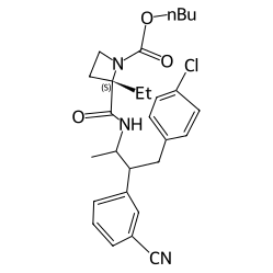 CCCCOC(=O)N1CC[C@@]1(CC)C(=O)NC(C)C(Cc1ccc(Cl)cc1)c1cccc(C#N)c1